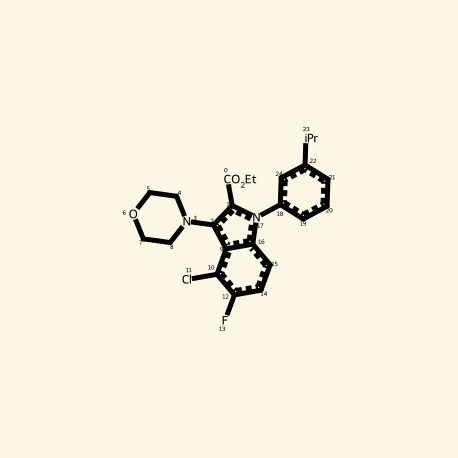 CCOC(=O)c1c(N2CCOCC2)c2c(Cl)c(F)ccc2n1-c1cccc(C(C)C)c1